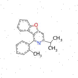 Cc1ccccc1-c1nc(C(C)C)cc2oc3ccccc3c12